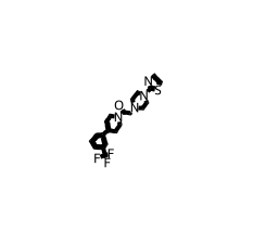 O=C(CN1CCN(c2nccs2)CC1)N1CC=C(c2cccc(C(F)(F)F)c2)CC1